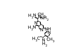 CC[C@@H](N)c1cc(Nc2cc3cc(/C(=C/N)N(C)N)nc(N)c3cn2)ncc1C